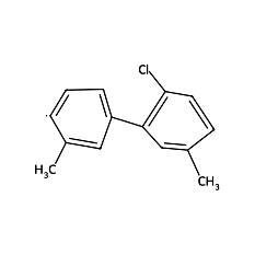 Cc1[c]ccc(-c2cc(C)ccc2Cl)c1